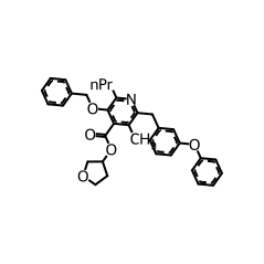 CCCc1nc(Cc2cccc(Oc3ccccc3)c2)c(C)c(C(=O)OC2CCOC2)c1OCc1ccccc1